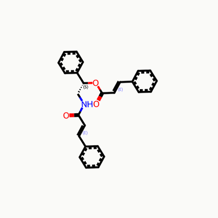 O=C(/C=C/c1ccccc1)NC[C@@H](OC(=O)/C=C/c1ccccc1)c1ccccc1